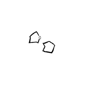 C1CCCC1.C1CCOC1